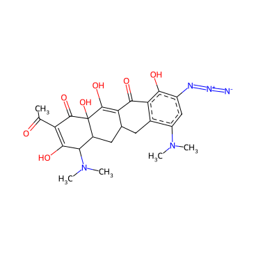 CC(=O)C1=C(O)C(N(C)C)C2CC3Cc4c(N(C)C)cc(N=[N+]=[N-])c(O)c4C(=O)C3=C(O)C2(O)C1=O